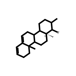 CC1CCC2C3CC=C4C=CCCC4(C)C3CC[C@]2(C)C1F